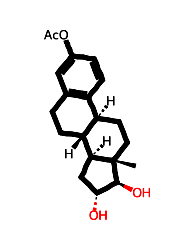 CC(=O)Oc1ccc2c(c1)CC[C@@H]1[C@@H]2CC[C@]2(C)[C@@H](O)[C@H](O)C[C@@H]12